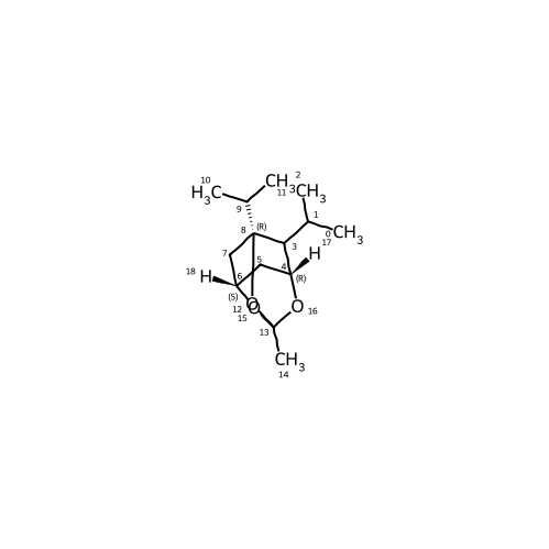 CC(C)C1[C@H]2C[C@H]3C[C@]1(C(C)C)OC(C)(O3)O2